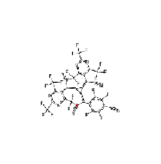 N#CC(=C1C(=C(/C#N)c2c(C(F)(F)F)nc(C(F)(F)F)nc2C(F)(F)F)/C1=C(/C#N)c1c(F)c(F)c(C#N)c(F)c1F)c1c(C(F)(F)F)nc(C(F)(F)F)nc1C(F)(F)F